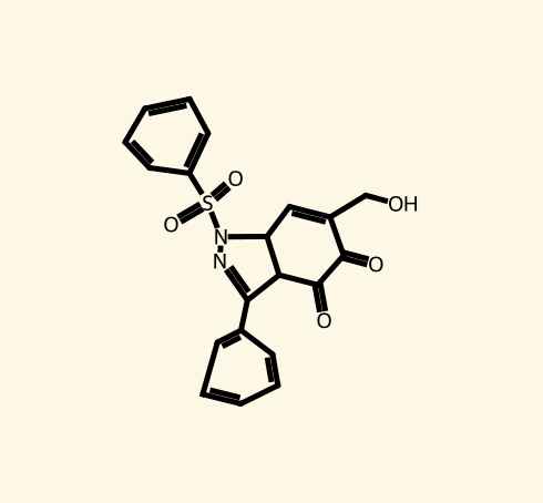 O=C1C(=O)C2C(c3ccccc3)=NN(S(=O)(=O)c3ccccc3)C2C=C1CO